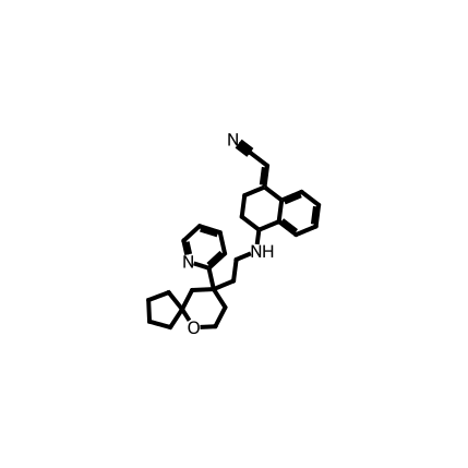 N#CC=C1CCC(NCCC2(c3ccccn3)CCOC3(CCCC3)C2)c2ccccc21